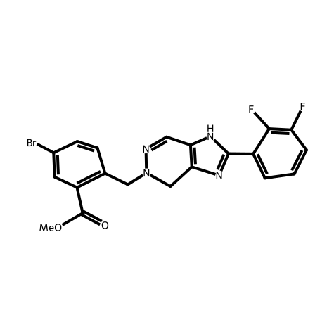 COC(=O)c1cc(Br)ccc1CN1Cc2nc(-c3cccc(F)c3F)[nH]c2C=N1